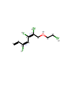 C=C/C(F)=C\C(F)=C(\Br)COCCBr